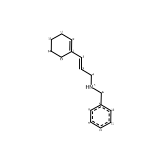 C1=C(/C=C/CNCc2ccccc2)CCCC1